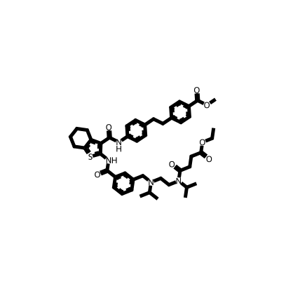 CCOC(=O)CCC(=O)N(CCN(Cc1cccc(C(=O)Nc2sc3c(c2C(=O)Nc2ccc(CCc4ccc(C(=O)OC)cc4)cc2)CCCC3)c1)C(C)C)C(C)C